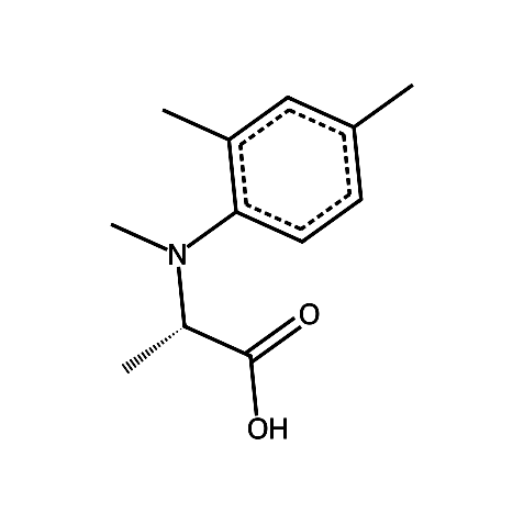 Cc1ccc(N(C)[C@@H](C)C(=O)O)c(C)c1